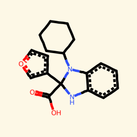 O=C(O)C1(c2ccoc2)Nc2ccccc2N1C1CCCCC1